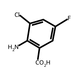 Nc1c(Cl)cc(F)cc1C(=O)O